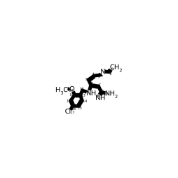 C=C/N=C/C=C\C(=C\C(=N)N)NCc1ccc(Cl)cc1OC